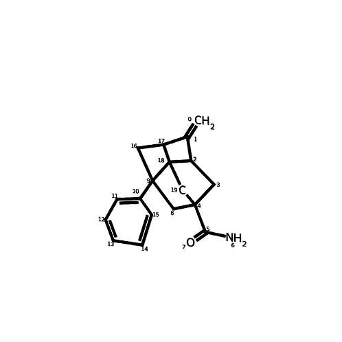 C=C1C2CC3(C(N)=O)CC4(c5ccccc5)CC1C24C3